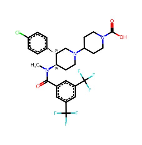 CN(C(=O)c1cc(C(F)(F)F)cc(C(F)(F)F)c1)[C@@H]1CCN(C2CCN(C(=O)O)CC2)C[C@H]1c1ccc(Cl)cc1